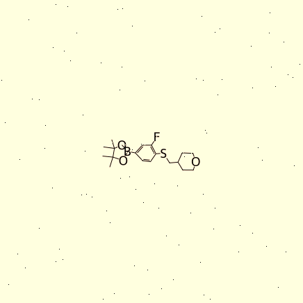 CC1(C)OB(c2ccc(SCC3CCOCC3)c(F)c2)OC1(C)C